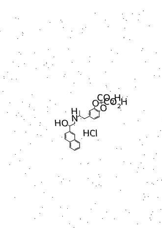 CC(Cc1ccc2c(c1)OC(C(=O)O)(C(=O)O)O2)NCC(O)c1ccc2ccccc2c1.Cl